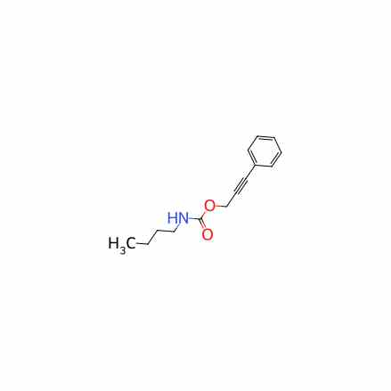 CCCCNC(=O)OCC#Cc1ccccc1